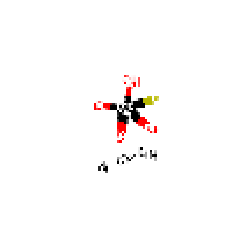 [Co].[LiH].[Ni].[O]=[Mn](=[O])([OH])([OH])=[S]